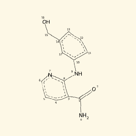 NC(=O)c1cccnc1Nc1cccc(CO)c1